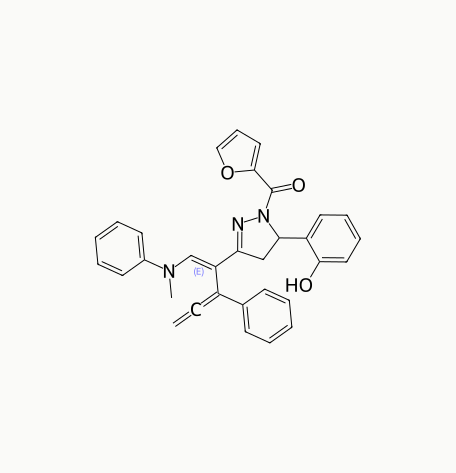 C=C=C(/C(=C\N(C)c1ccccc1)C1=NN(C(=O)c2ccco2)C(c2ccccc2O)C1)c1ccccc1